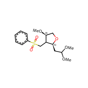 COC(C[C@@H]1OC[C@H](OC)C1CS(=O)(=O)c1ccccc1)OC